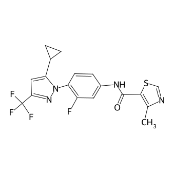 Cc1ncsc1C(=O)Nc1ccc(-n2nc(C(F)(F)F)cc2C2CC2)c(F)c1